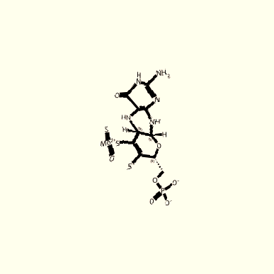 Nc1nc2c(c(=O)[nH]1)N[C@H]1C([S-])=C([S-])[C@@H](COP(=O)([O-])[O-])O[C@H]1N2.[O]=[Mo+2]=[S]